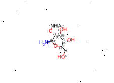 CC(=O)NO[C@@H]1[C@@H](O)[C@H](O)[C@@H](CO)O[C@H]1N